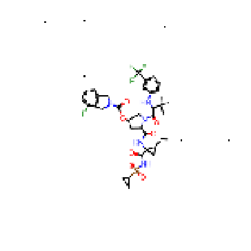 CCC1CC1(NC(=O)C1CC(OC(=O)N2Cc3cccc(F)c3C2)CN1C(=O)C(Nc1cccc(C(F)(F)F)c1)C(C)(C)C)C(=O)NS(=O)(=O)C1CC1